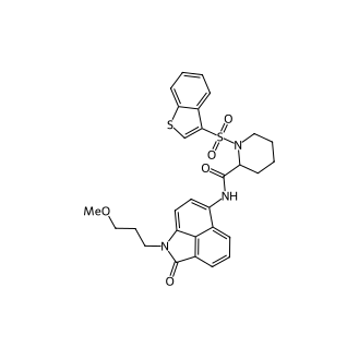 COCCCN1C(=O)c2cccc3c(NC(=O)C4CCCCN4S(=O)(=O)c4csc5ccccc45)ccc1c23